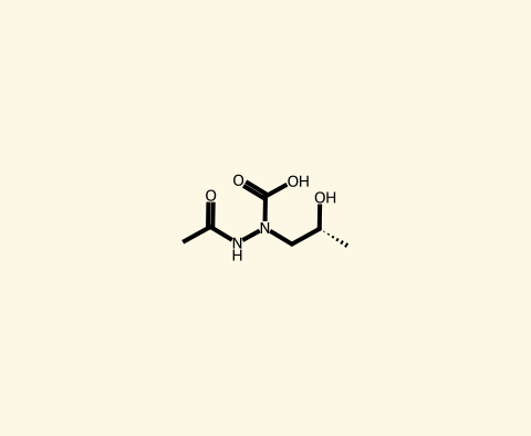 CC(=O)NN(C[C@@H](C)O)C(=O)O